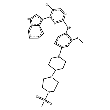 COc1cc(N2CCC(N3CCN(S(C)(=O)=O)CC3)CC2)ccc1Nc1ncc(Cl)c(-c2c[nH]c3ccccc23)n1